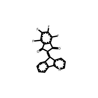 O=C1C(=C2c3ccccc3-c3ncccc32)C(=O)c2c(F)c(F)c(F)c(F)c21